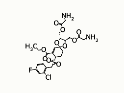 CCOC(=O)C1=CC2(CCC1S(=O)(=O)Cc1ccc(F)cc1Cl)O[C@H](COC(=O)CN)[C@@H](COC(=O)CN)O2